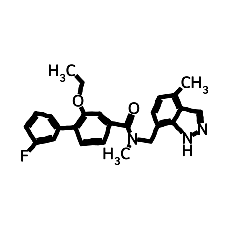 CCOc1cc(C(=O)N(C)Cc2ccc(C)c3cn[nH]c23)ccc1-c1cccc(F)c1